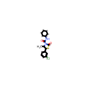 CC1C(c2cccc(Cl)c2)SC(=O)N1C(=O)NC1CCCCC1